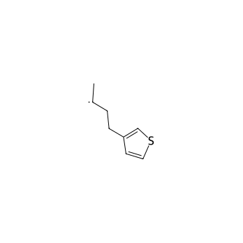 C[CH]CCc1ccsc1